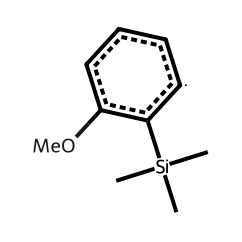 COc1ccc[c]c1[Si](C)(C)C